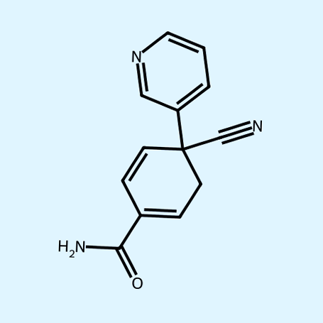 N#CC1(c2cccnc2)C=CC(C(N)=O)=CC1